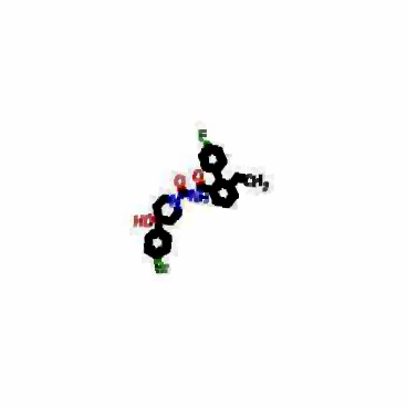 C=Cc1cccc(C(=O)NC(=O)N2CCC(O)(c3ccc(Br)cc3)CC2)c1-c1ccc(F)cc1